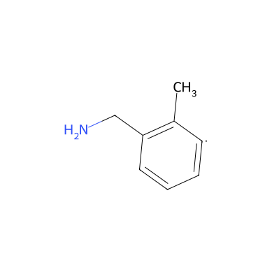 Cc1[c]cccc1CN